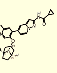 Cc1cc(-c2ccn3nc(NC(=O)C4CC4)cc3c2)c(O[C@H]2C[C@H]3CC[C@@H](C2)N3C)cn1